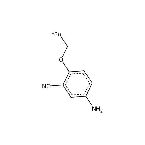 CC(C)(C)COc1ccc(N)cc1C#N